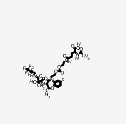 CC(=O)NC(CCC(=O)NCCOC(=O)OCCN1C(=O)[C@@H](NC(=O)[C@@](C)(O)C(=O)NCC(F)(F)C(F)(F)F)[C@@H](C)Oc2ccc(F)cc21)C(=O)O